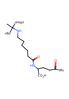 CCCCCCCC(C)(CCCC)NCCCCCC(=O)NC(CCC(=O)C(C)(C)C)C(=O)O